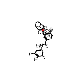 O=C(Nc1cc(F)c(F)c(F)c1)c1ccc(Cl)c(S(=O)(=O)C2C3CCC2CC(O)(CO)C3)c1